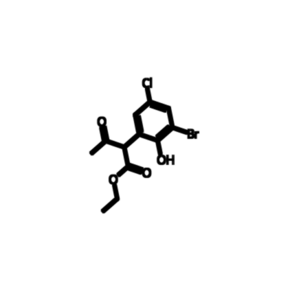 CCOC(=O)C(C(C)=O)c1cc(Cl)cc(Br)c1O